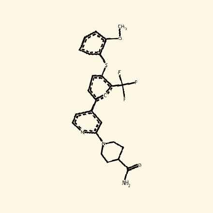 COc1ccccc1Sc1ccc(-c2ccnc(N3CCC(C(N)=O)CC3)c2)cc1C(F)(F)F